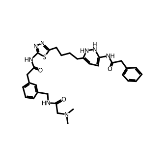 CN(C)CC(=O)NCc1cccc(CC(=O)Nc2nnc(CCCCC3=CC=C(NC(=O)Cc4ccccc4)NN3)s2)c1